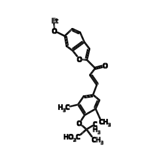 CCOc1ccc2cc(C(=O)C=Cc3cc(C)c(OC(C)(C)C(=O)O)c(C)c3)oc2c1